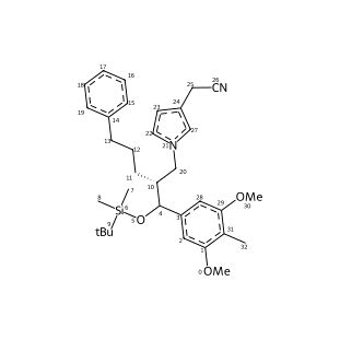 COc1cc(C(O[Si](C)(C)C(C)(C)C)[C@H](CCCc2ccccc2)Cn2ccc(CC#N)c2)cc(OC)c1C